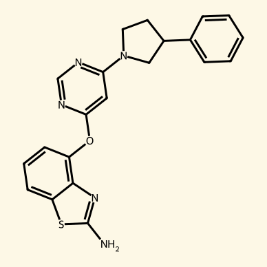 Nc1nc2c(Oc3cc(N4CCC(c5ccccc5)C4)ncn3)cccc2s1